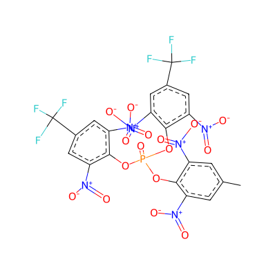 Cc1cc([N+](=O)[O-])c(OP(=O)(Oc2c([N+](=O)[O-])cc(C(F)(F)F)cc2[N+](=O)[O-])Oc2c([N+](=O)[O-])cc(C(F)(F)F)cc2[N+](=O)[O-])c([N+](=O)[O-])c1